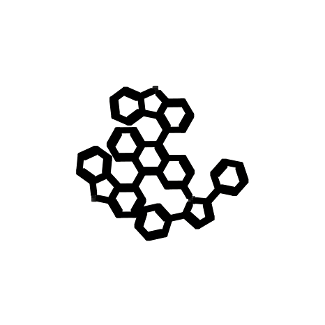 c1ccc(-c2ccc(-c3ccccc3)n2-c2ccc3c(-c4cccc5sc6ccccc6c45)c4ccccc4c(-c4cccc5sc6ccccc6c45)c3c2)cc1